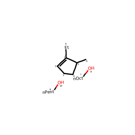 CCC1=CCCC1C.CCCCCCCCO.CCCCCO